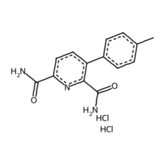 Cc1ccc(-c2ccc(C(N)=O)nc2C(N)=O)cc1.Cl.Cl